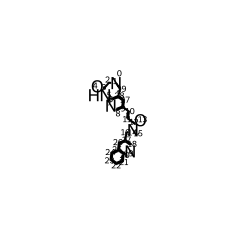 CN1CC(=O)Nc2ncc(C=CC(=O)N(C)Cc3cnc4ccccc4c3)cc2C1